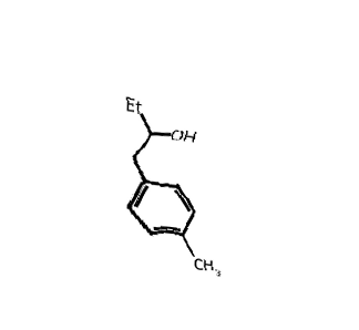 CCC(O)Cc1ccc(C)cc1